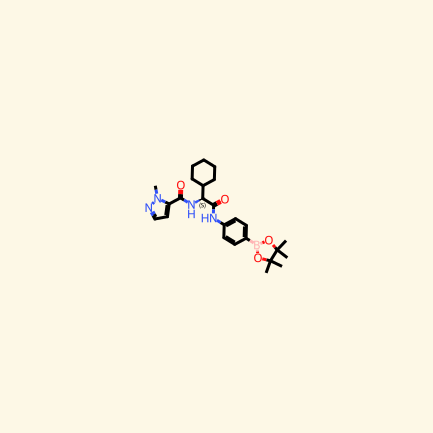 Cn1nccc1C(=O)N[C@H](C(=O)Nc1ccc(B2OC(C)(C)C(C)(C)O2)cc1)C1CCCCC1